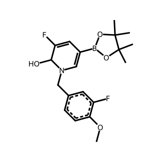 COc1ccc(CN2C=C(B3OC(C)(C)C(C)(C)O3)C=C(F)C2O)cc1F